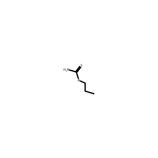 CCC[N]C(N)=S